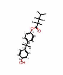 CC(C)C(C)(C)C(C)(C)C(=O)Oc1ccc(C(C)(C)c2ccc(O)cc2)cc1